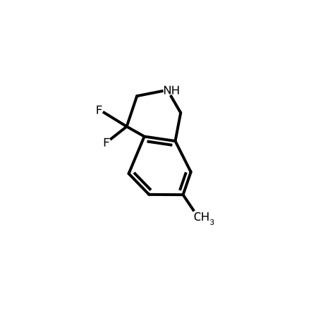 Cc1ccc2c(c1)CNCC2(F)F